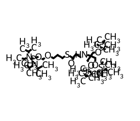 CC(C)N(C(C)C)P(OCOCCCSC(=O)CCNC(CO[Si](C)(C)C(C)(C)C)(CO[Si](C)(C)C(C)(C)C)CO[Si](C)(C)C(C)(C)C)N(C(C)C)C(C)C